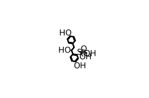 O=P(O)(O)Sc1cc(O)ccc1C(O)Cc1ccc(O)cc1